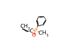 C/C=C\C[P@](C)(=O)c1ccccc1